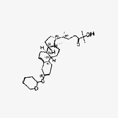 C[C@H](CCC(=O)C(C)(C)O)[C@H]1CC[C@H]2[C@@H]3CC=C4C[C@H](OC5CCCCO5)CC[C@]4(C)[C@H]3CC[C@]12C